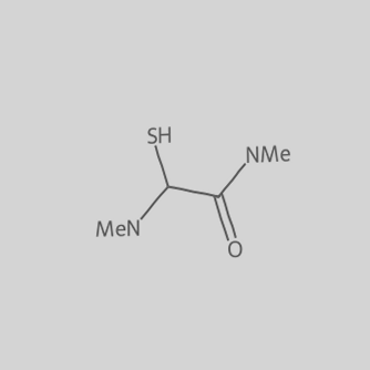 CNC(=O)C(S)NC